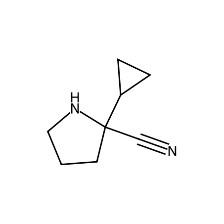 N#CC1(C2CC2)CCCN1